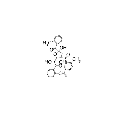 Cc1ccccc1C(=O)C(O)[C@H]1OC(O)(C(=O)c2ccccc2C)C[C@@]1(O)C(=O)c1ccccc1C